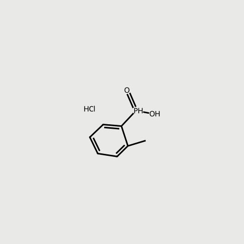 Cc1ccccc1[PH](=O)O.Cl